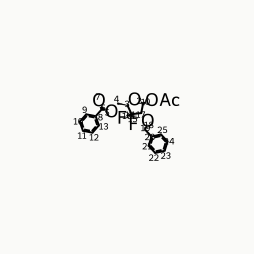 CC(=O)OC1O[C@H](COC(=O)c2ccccc2)C(F)(F)[C@H]1OCc1ccccc1